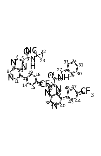 N#CC1(NC(=O)c2cnc3cncc(-c4ccc(C(F)(F)F)cc4)c3n2)CC1.O=C(NCc1ccccc1)c1cnc2cncc(-c3ccc(C(F)(F)F)cc3)c2n1